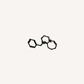 C1=CN2CCC[N+](Cc3ccccc3)=C2CCC1